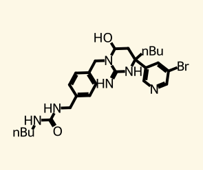 CCCCNC(=O)NCc1ccc(CN2C(=N)NC(CCCC)(c3cncc(Br)c3)CC2O)cc1